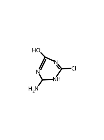 NC1N=C(O)N=C(Cl)N1